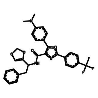 CN(C)c1ccc(-c2oc(-c3ccc(C(F)(F)F)cc3)nc2C(=O)NC(Cc2ccccc2)C2=COCO2)cc1